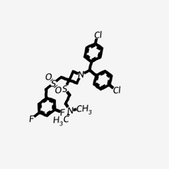 CN(C)CCSC1(CS(=O)(=O)Cc2cc(F)cc(F)c2)CN(C(c2ccc(Cl)cc2)c2ccc(Cl)cc2)C1